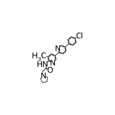 Cc1cc(-c2ccc(-c3ccc(Cl)cc3)cn2)cnc1NC(=O)CN1CCCC1